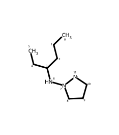 CCCC(CC)NN1CCC[N]1